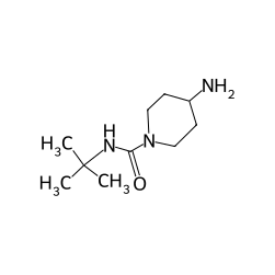 CC(C)(C)NC(=O)N1CCC(N)CC1